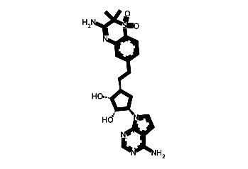 CC1(C)C(N)=Nc2cc(CC[C@H]3C[C@@H](n4ccc5c(N)ncnc54)[C@H](O)[C@@H]3O)ccc2S1(=O)=O